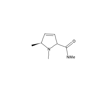 CNC(=O)C1C=C[C@H](C)N1C